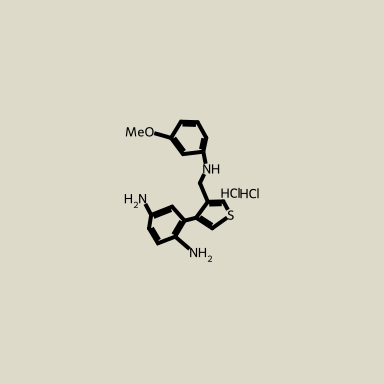 COc1cccc(NCc2cscc2-c2cc(N)ccc2N)c1.Cl.Cl